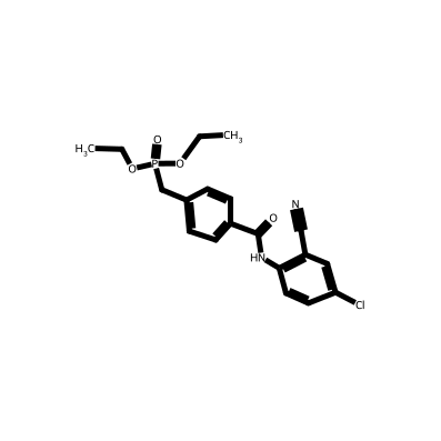 CCOP(=O)(Cc1ccc(C(=O)Nc2ccc(Cl)cc2C#N)cc1)OCC